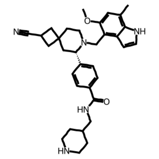 COc1cc(C)c2[nH]ccc2c1CN1CCC2(CC(C#N)C2)C[C@H]1c1ccc(C(=O)NCC2CCNCC2)cc1